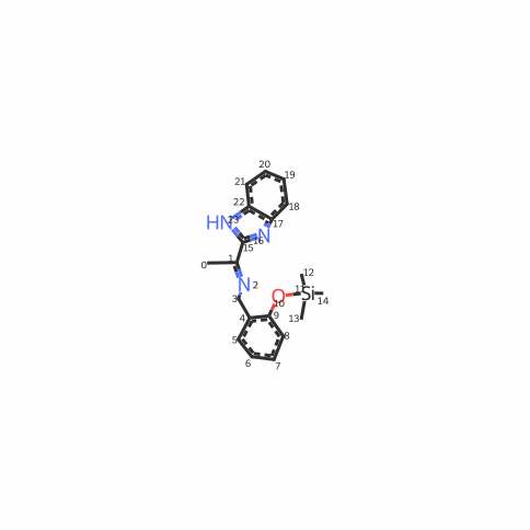 CC(=NCc1ccccc1O[Si](C)(C)C)c1nc2ccccc2[nH]1